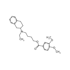 CCN(CCCCOC(=O)c1ccc(OC)c(OC)c1)C1CCc2ccccc2C1